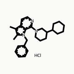 Cc1c(C)n(Cc2ccccc2)c2c(N3CCCC(C4CCCCC4)C3)nccc12.Cl